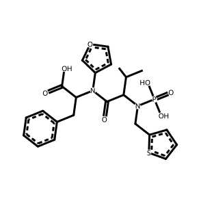 CC(C)C(C(=O)N(c1ccoc1)C(Cc1ccccc1)C(=O)O)N(Cc1cccs1)P(=O)(O)O